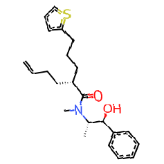 C=CCC[C@H](CCCc1cccs1)C(=O)N(C)[C@@H](C)[C@@H](O)c1ccccc1